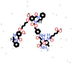 COC(=O)CCCCC(=O)N[C@@H](CC(C)C)C(=O)N[C@@H](CCC(N)=O)C(=O)Nc1ccc(COC(=O)N2C[C@@H]3Cc4ccccc4N3C(=O)c3cc(OC)c(OCCCCCOc4cc5c(cc4OC)C(=O)N4c6ccccc6C[C@H]4C=N5)cc32)cc1